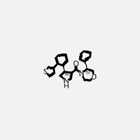 O=C(C1CNC[C@H]1c1ccccc1-c1ccsc1)N1CCOC[C@@H]1c1ccccc1